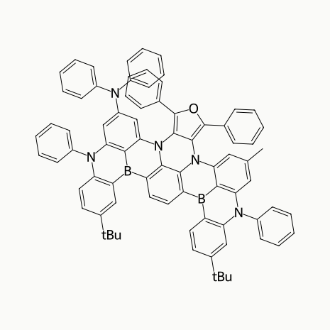 Cc1cc2c3c(c1)N1c4c(ccc5c4N(c4cc(N(c6ccccc6)c6ccccc6)cc6c4B5c4cc(C(C)(C)C)ccc4N6c4ccccc4)c4c(-c5ccccc5)oc(-c5ccccc5)c41)B3c1ccc(C(C)(C)C)cc1N2c1ccccc1